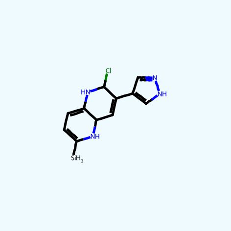 [SiH3]C1=CC=C2NC(Cl)C(c3cn[nH]c3)=CC2N1